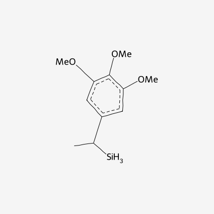 COc1cc(C(C)[SiH3])cc(OC)c1OC